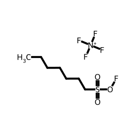 CCCCCCCS(=O)(=O)OF.F[N+](F)(F)F